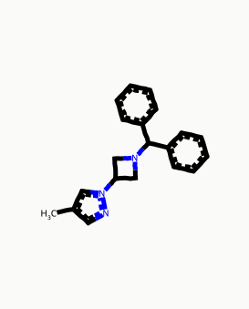 Cc1cnn(C2CN(C(c3ccccc3)c3ccccc3)C2)c1